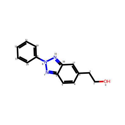 OCCc1ccc2nn(-c3ccccc3)nc2c1